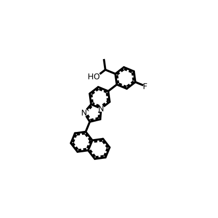 CC(O)c1ccc(F)cc1-c1ccc2nc(-c3cccc4ccccc34)cn2c1